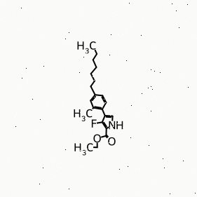 CCCCCCCc1ccc(-c2c[nH]c(C(=O)OCC)c2F)c(C)c1